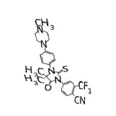 CN1CCN(c2ccc(N3C(=S)N(c4ccc(C#N)c(C(F)(F)F)c4)C(=O)C3(C)C)cc2)CC1